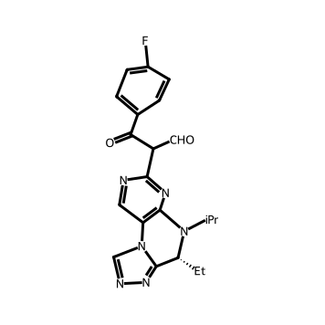 CC[C@@H]1c2nncn2-c2cnc(C(C=O)C(=O)c3ccc(F)cc3)nc2N1C(C)C